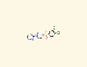 O=S(=O)(c1ccc(Cl)c(Cl)c1)N1CCN(c2ccccn2)CC1